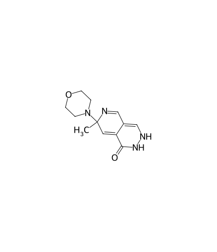 CC1(N2CCOCC2)C=C2C(=O)NNC=C2C=N1